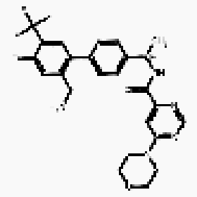 C[C@@H](NC(=O)c1cc(N2CCOCC2)ncn1)c1ccc(-c2cc(C(F)(F)F)c(F)cc2CN)cc1